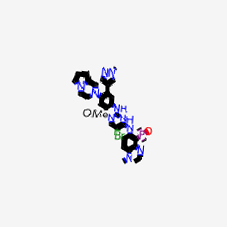 C=Nc1ccc(Nc2nc(Nc3cc(-c4cnn(C)c4)c(N4CCN5CCCC5C4)cc3OC)ncc2Br)c(P(C)(C)=O)c1/N=C\C